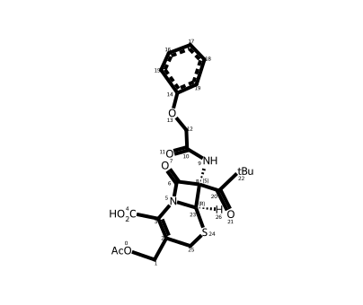 CC(=O)OCC1=C(C(=O)O)N2C(=O)[C@@](NC(=O)COc3ccccc3)(C(=O)C(C)(C)C)[C@H]2SC1